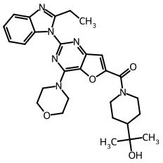 CCc1nc2ccccc2n1-c1nc(N2CCOCC2)c2oc(C(=O)N3CCC(C(C)(C)O)CC3)cc2n1